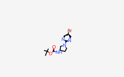 CC(C)(C)OC(=O)N[C@@H]1CCN(c2ncc(Br)cn2)C1